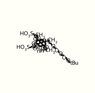 CCCN(C)S(=O)(=O)c1cc(NC(C)CCCOCCOCCOCCOCCOCC(C)(C)C)c2ccc3c(S(=O)(=O)N(C)CCS(=O)(=O)O)cc(S(=O)(=O)N(C)CCS(=O)(=O)O)c4ccc1c2c34